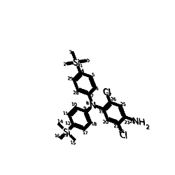 C[Si](C)(C)c1ccc(N(c2ccc([Si](C)(C)C)cc2)c2cc(Cl)c(N)cc2Cl)cc1